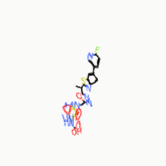 CC(c1nnc(CNS(=O)(=O)NC(=O)O)o1)c1nc2ccc(-c3ccc(F)nc3)cc2s1